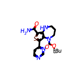 CC(C)(C)OC(=O)N1CCCNc2c(C(N)=O)sc(-c3ccncn3)c21